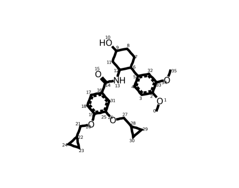 COc1ccc(C2CCC(O)CC2NC(=O)c2ccc(OCC3CC3)c(OCC3CC3)c2)cc1OC